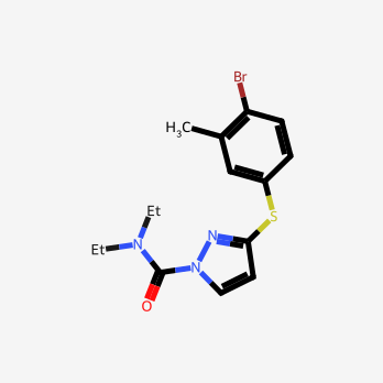 CCN(CC)C(=O)n1ccc(Sc2ccc(Br)c(C)c2)n1